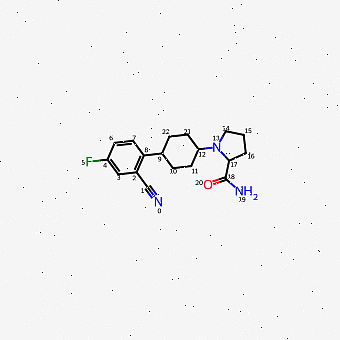 N#Cc1cc(F)ccc1C1CCC(N2CC[CH]C2C(N)=O)CC1